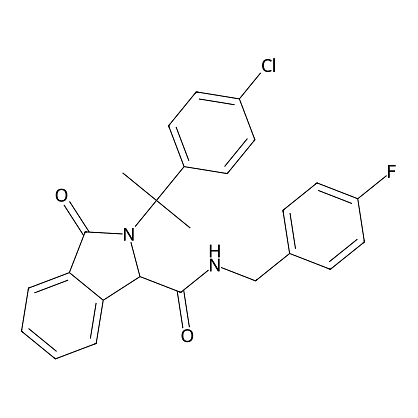 CC(C)(c1ccc(Cl)cc1)N1C(=O)c2ccccc2C1C(=O)NCc1ccc(F)cc1